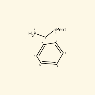 CCCCCCP.c1ccccc1